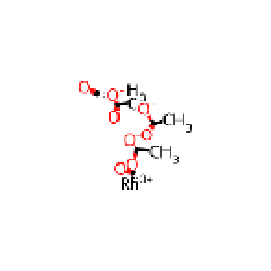 CC(=O)[O-].CC(=O)[O-].CC(=O)[O-].[C]=O.[C]=O.[Rh+3]